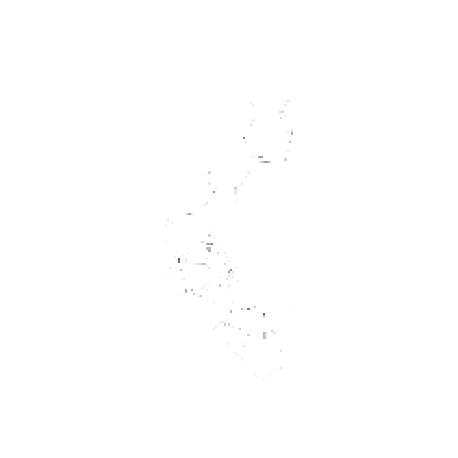 O=C(Nc1ccc(F)c(F)c1)c1ccc(Cl)c(S(=O)(=O)[C@@H]2C[C@H]3CC[C@@H](C2)[C@@]3(O)C(O)c2ncccc2F)c1